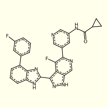 O=C(Nc1cncc(-c2ncc3[nH]nc(-c4nc5c(-c6cccc(F)c6)cccc5[nH]4)c3c2F)c1)C1CC1